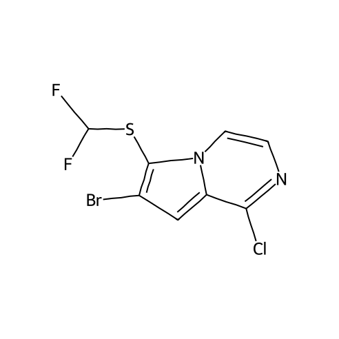 FC(F)Sc1c(Br)cc2c(Cl)nccn12